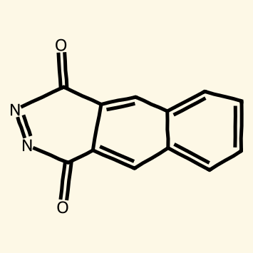 O=C1N=NC(=O)c2cc3ccccc3cc21